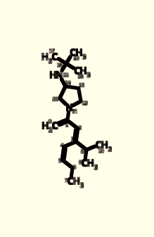 C=C(/C=C(\C=C/CC)C(C)C)N1CCC(NC(C)(C)C)C1